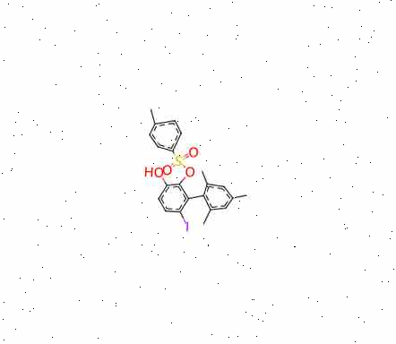 Cc1ccc(S(=O)(=O)Oc2c(O)ccc(I)c2-c2c(C)cc(C)cc2C)cc1